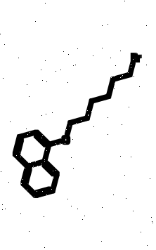 BrCCCCCCOc1cccc2ccccc12